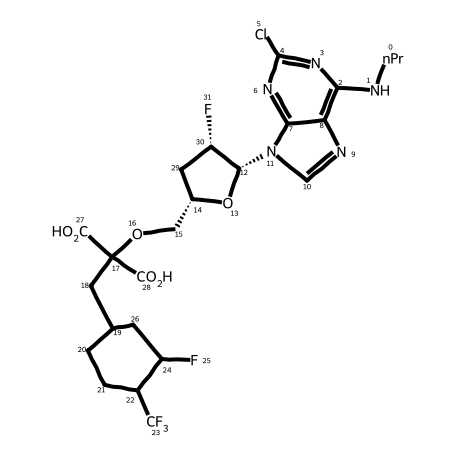 CCCNc1nc(Cl)nc2c1ncn2[C@@H]1O[C@H](COC(CC2CCC(C(F)(F)F)C(F)C2)(C(=O)O)C(=O)O)C[C@@H]1F